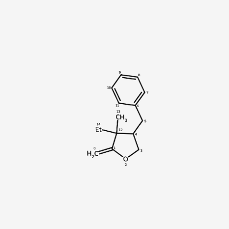 C=C1OCC(Cc2ccccc2)C1(C)CC